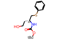 CC(C)(C)OC(=O)N[C@H](CCO)CSc1ccccc1